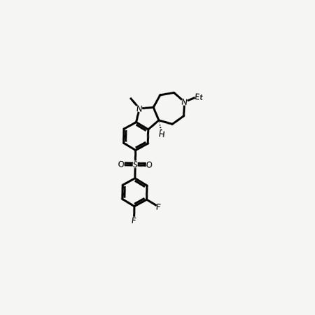 CCN1CCC2[C@@H](CC1)c1cc(S(=O)(=O)c3ccc(F)c(F)c3)ccc1N2C